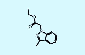 CCOC(=O)Cn1nc(C)c2cccnc21